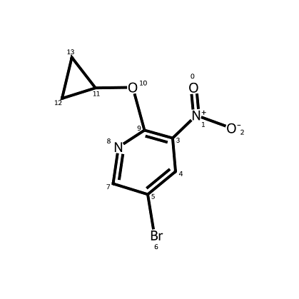 O=[N+]([O-])c1cc(Br)cnc1OC1CC1